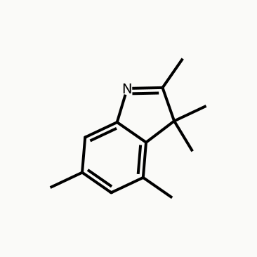 CC1=Nc2cc(C)cc(C)c2C1(C)C